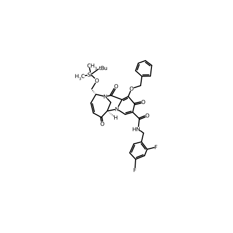 CC(C)(C)[Si](C)(C)OC[C@H]1C=CC(=O)[C@H]2CN1C(=O)c1c(OCc3ccccc3)c(=O)c(C(=O)NCc3ccc(F)cc3F)cn12